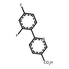 O=C(O)c1ccc(-c2ccc(F)cc2F)nc1